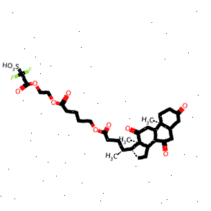 C[C@H](CCC(=O)OCCCCC(=O)OCCOC(=O)C(F)(F)S(=O)(=O)O)[C@H]1CCC2C3C(=O)CC4CC(=O)CC[C@]4(C)C3CC(=O)[C@@]21C